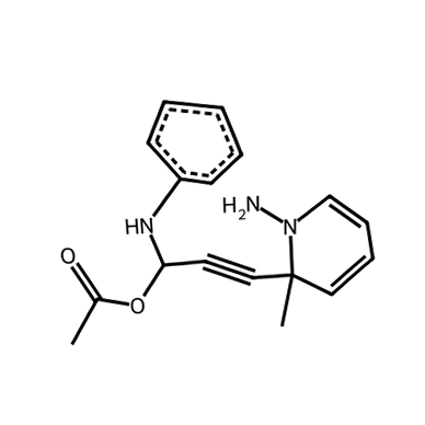 CC(=O)OC(C#CC1(C)C=CC=CN1N)Nc1ccccc1